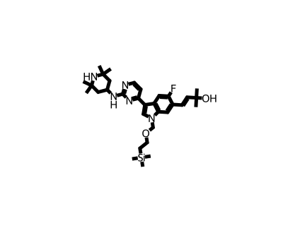 CC(C)(O)/C=C/c1cc2c(cc1F)c(-c1ccnc(NC3CC(C)(C)NC(C)(C)C3)n1)cn2COCC[Si](C)(C)C